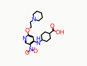 O=C(O)C1CCC(Nc2cc(OCCN3CCCCC3)ncc2[N+](=O)[O-])CC1